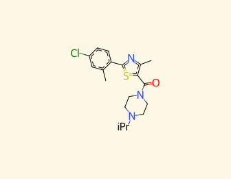 Cc1cc(Cl)ccc1-c1nc(C)c(C(=O)N2CCN(C(C)C)CC2)s1